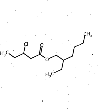 CCCCC(CC)COC(=O)CC(Cl)CC